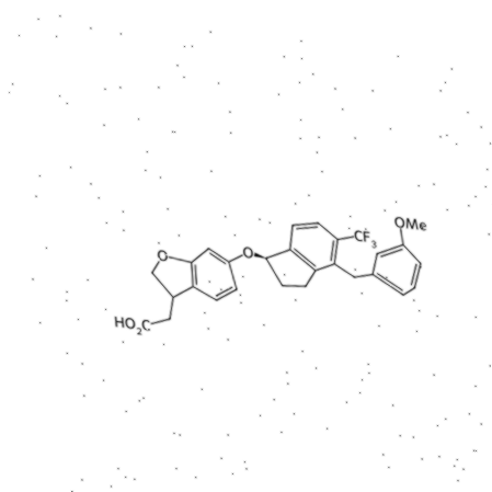 COc1cccc(Cc2c(C(F)(F)F)ccc3c2CC[C@H]3Oc2ccc3c(c2)OCC3CC(=O)O)c1